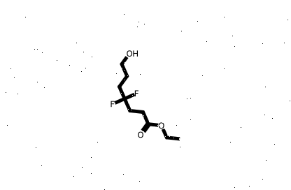 CCOC(=O)CCC(F)(F)CCCO